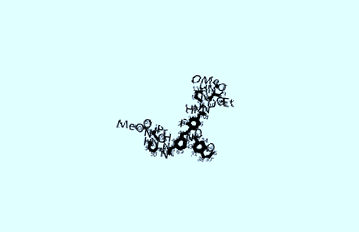 CCO[C@H](C)[C@H](NC(=O)OC)C(=O)N1CCC[C@H]1c1ncc(-c2cc(F)c3c(c2)OC(c2ccc4c(c2)OCCC4)n2c-3cc3cc(-c4cnc([C@@H]5CCCN5C(=O)C(NC(=O)OC)C(C)C)[nH]4)ccc32)[nH]1